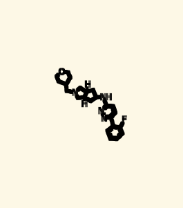 Fc1ccccc1-c1ccc(NC2C[C@@H]3CN(CC4CCOCC4)C[C@@H]3C2)nn1